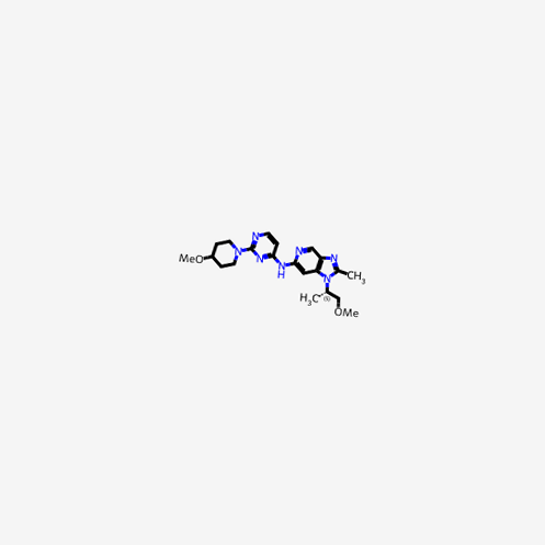 COC[C@H](C)n1c(C)nc2cnc(Nc3ccnc(N4CCC(OC)CC4)n3)cc21